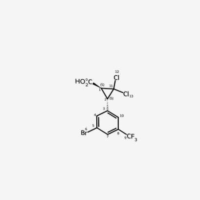 O=C(O)[C@@H]1[C@@H](c2cc(Br)cc(C(F)(F)F)c2)C1(Cl)Cl